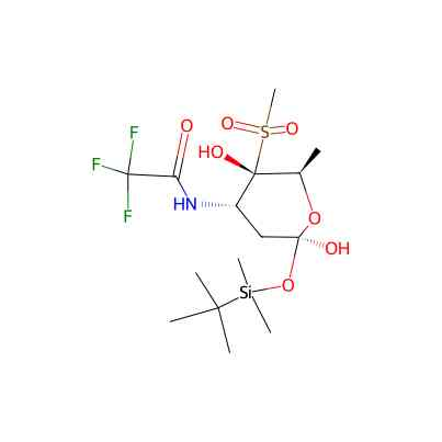 C[C@H]1O[C@@](O)(O[Si](C)(C)C(C)(C)C)C[C@H](NC(=O)C(F)(F)F)[C@]1(O)S(C)(=O)=O